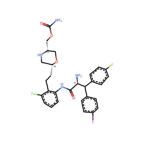 NC(=O)OC[C@@H]1CO[C@H](CCc2c(F)cccc2NC(=O)[C@@H](N)C(c2ccc(F)cc2)c2ccc(I)cc2)CN1